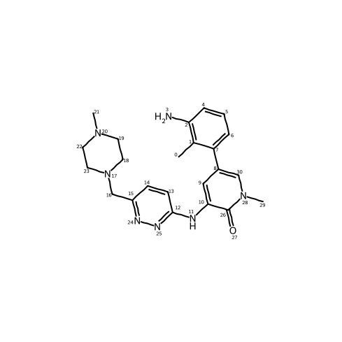 Cc1c(N)cccc1-c1cc(Nc2ccc(CN3CCN(C)CC3)nn2)c(=O)n(C)c1